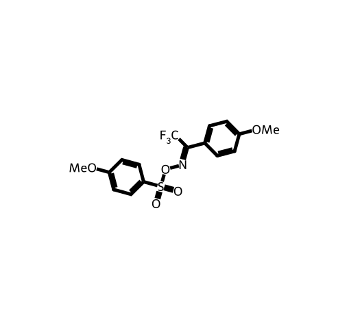 COc1ccc(C(=NOS(=O)(=O)c2ccc(OC)cc2)C(F)(F)F)cc1